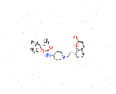 CC(C)(C)OC(=O)NC1CCN(CCc2cccc3ccc(=O)oc23)CC1